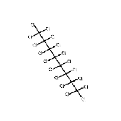 ClC(Cl)(Cl)C(Cl)(Cl)C(Cl)(Cl)C(Cl)(Cl)C(Cl)(Cl)C(Cl)(Cl)C(Cl)(Cl)C(Cl)(Cl)Cl